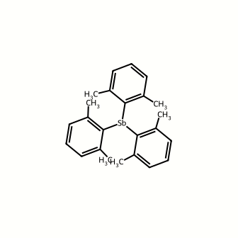 Cc1cccc(C)[c]1[Sb]([c]1c(C)cccc1C)[c]1c(C)cccc1C